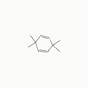 CC1(C)C=CC(C)(C)C=C1